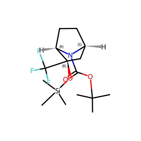 CC(C)(C)OC(=O)N1[C@H]2CC[C@@H]1[C@@](O[Si](C)(C)C)(C(F)(F)F)C2